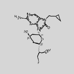 Nc1ncc2c(n1)n([C@@H]1O[C@H](C(O)CF)C[C@H]1O)c(=O)n2CC1CC1